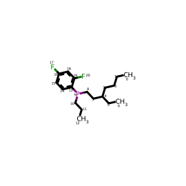 CCCCC(CC)CCP(CCC)c1ccc(F)cc1F